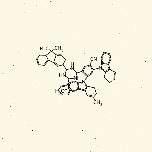 CC1=Cc2c(n(-c3cc(-n4c5c(c6ccccc64)C=CCC5)c(C#N)cc3C3NC(C4=CCCC=C4)NC(C4C=C5C6=CC=CCC6C(C)(C)C5=CC4)N3)c3ccc(C)cc23)CC1